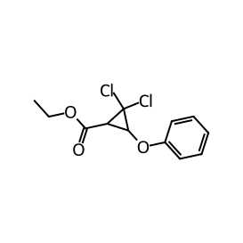 CCOC(=O)C1C(Oc2ccccc2)C1(Cl)Cl